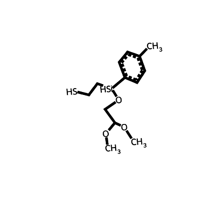 COC(CO[SiH](CCS)c1ccc(C)cc1)OC